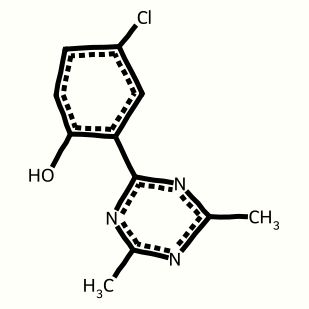 Cc1nc(C)nc(-c2cc(Cl)ccc2O)n1